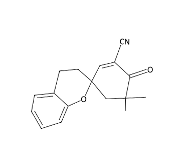 CC1(C)CC2(C=C(C#N)C1=O)CCc1ccccc1O2